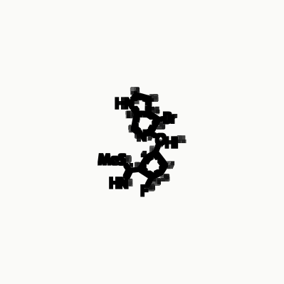 CSC(=N)c1cc(Oc2ncc3[nH]ccc3c2Br)ccc1F.I